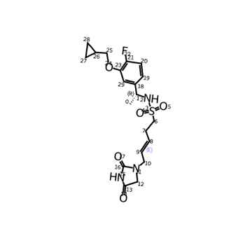 C[C@@H](NS(=O)(=O)CC/C=C/CN1CC(=O)NC1=O)c1ccc(F)c(OCC2CC2)c1